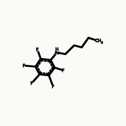 CCCCC[AsH]c1c(F)c(F)c(F)c(F)c1F